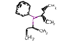 C=CC(=C)P(C(=C)C=C)c1ccccc1